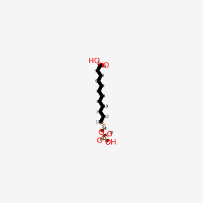 O=C(O)CCCCCCCCCCCSOS(=O)(=O)O